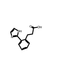 O=C(O)CCc1ccccc1-c1ncc[nH]1